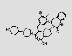 Cc1c(Br)cc(CC(C(=O)N2CCN(C3CCNCC3)CC2)[C@H]2CC(N3CCc4ccccc4NC3=O)CCN2C(=O)O)cc1Br